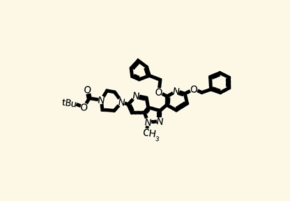 Cn1nc(-c2ccc(OCc3ccccc3)nc2OCc2ccccc2)c2cnc(N3CCN(C(=O)OC(C)(C)C)CC3)cc21